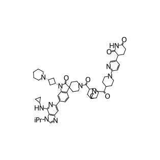 CC(C)n1cnc2cc(-c3ccc4c(c3)N([C@H]3C[C@@H](N5CCCCC5)C3)C(=O)C43CCN(C(=O)C4CC5CCC4N(C(=O)C4CCN(c6ccc(C7CCC(=O)NC7=O)cn6)CC4)C5)CC3)nc(NC3CC3)c21